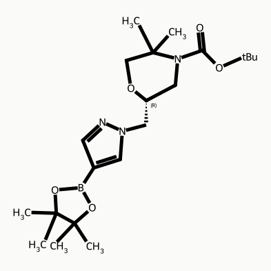 CC(C)(C)OC(=O)N1C[C@H](Cn2cc(B3OC(C)(C)C(C)(C)O3)cn2)OCC1(C)C